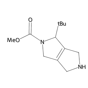 COC(=O)N1CC2=C(CNC2)C1C(C)(C)C